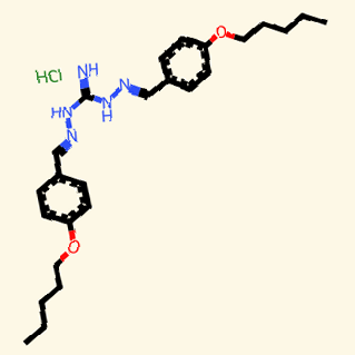 CCCCCOc1ccc(C=NNC(=N)NN=Cc2ccc(OCCCCC)cc2)cc1.Cl